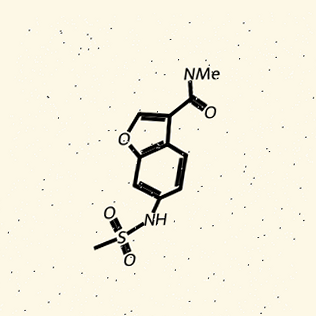 CNC(=O)c1coc2cc(NS(C)(=O)=O)ccc12